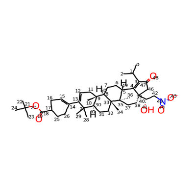 CC(C)C1=C2[C@H]3CC[C@@H]4[C@@]5(C)CC=C(C6=CCC(C(=O)OC(C)(C)C)CC6)C(C)(C)[C@@H]5CC[C@@]4(C)[C@]3(C)CC[C@@]2([C@@H](O)C[N+](=O)[O-])CC1=O